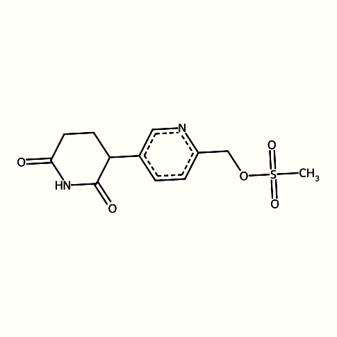 CS(=O)(=O)OCc1ccc(C2CCC(=O)NC2=O)cn1